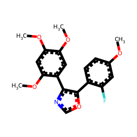 COc1ccc(-c2ocnc2-c2cc(OC)c(OC)cc2OC)c(F)c1